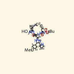 COc1ccc(-c2nn([C@H]3C[C@H]4C(=O)N[C@]5(C(=O)O)C[C@H]5/C=C\CCCCC[C@H](NC(=O)OC(C)(C)C)C(=O)N4C3)nc2-c2ccccn2)cc1